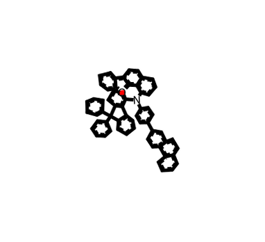 c1ccc(C2(c3ccccc3)c3ccccc3-c3c(N(c4ccc(-c5ccc6c(ccc7ccccc76)c5)cc4)c4cccc5ccc6c7ccccc7oc6c45)cccc32)cc1